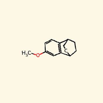 COc1ccc2c(c1)C1CCC2CC1